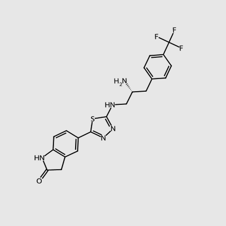 N[C@@H](CNc1nnc(-c2ccc3c(c2)CC(=O)N3)s1)Cc1ccc(C(F)(F)F)cc1